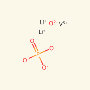 O=P([O-])([O-])[O-].[Li+].[Li+].[O-2].[V+5]